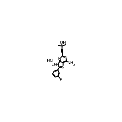 CCn1c(-c2cccc(F)c2)nc2c(N)nc(C#CC(C)(C)O)nc21.Cl